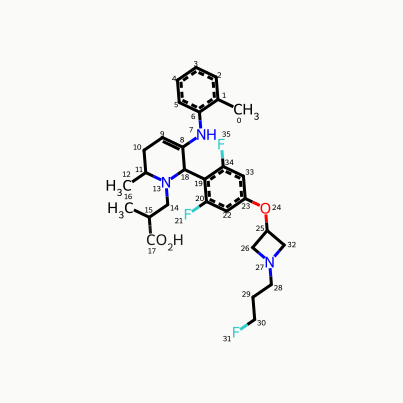 Cc1ccccc1NC1=CCC(C)N(CC(C)C(=O)O)C1c1c(F)cc(OC2CN(CCCF)C2)cc1F